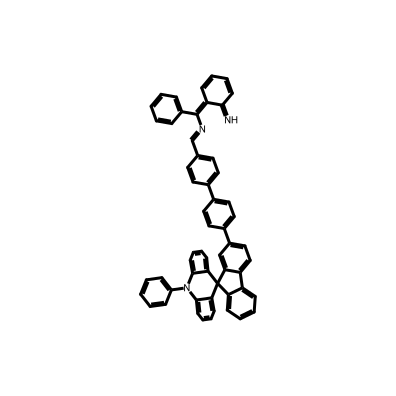 N=C1C=CC=C/C1=C(/N=C/c1ccc(-c2ccc(-c3ccc4c(c3)C3(c5ccccc5-4)c4ccccc4N(c4ccccc4)c4ccccc43)cc2)cc1)c1ccccc1